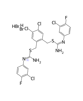 Br.Br.NC(=Nc1ccc(F)c(Cl)c1)SCc1cc(Cl)c(Cl)cc1CS/C(N)=N/c1ccc(F)c(Cl)c1